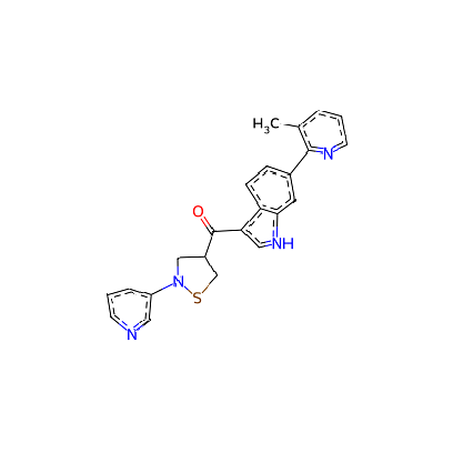 Cc1cccnc1-c1ccc2c(C(=O)C3CSN(c4cccnc4)C3)c[nH]c2c1